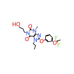 CCCn1c(Oc2cccc(OC(C)(F)F)c2)nc2c1c(=O)n(CCCO)c(=O)n2C